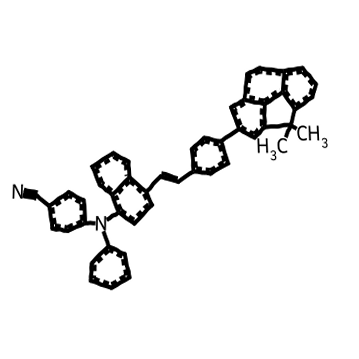 CC1(C)c2cccc3ccc4cc(-c5ccc(/C=C/c6ccc(N(c7ccccc7)c7ccc(C#N)cc7)c7ccccc67)cc5)cc1c4c23